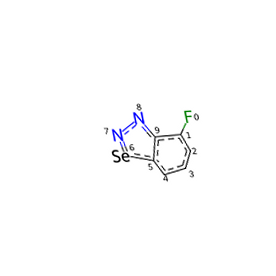 Fc1cccc2[se]nnc12